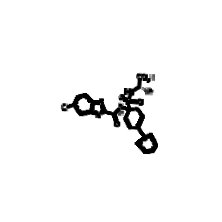 CC(C)[C@H](NS(=O)(=O)C1(NC(=O)c2nc3cc(Cl)ccc3s2)C=CC(c2ccccc2)=CC1)C(=O)O